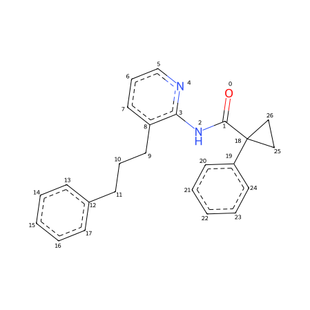 O=C(Nc1ncccc1CCCc1ccccc1)C1(c2ccccc2)CC1